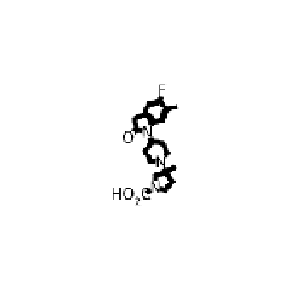 Cc1cc2c(cc1F)CC(=O)N2C1CCN(C2(C)CCN(C(=O)O)C2)CC1